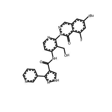 CC(C)(C)c1cc(F)c2c(=O)n(-c3nccc(NC(=O)c4c[nH]nc4-c4cccnc4)c3CO)ncc2c1